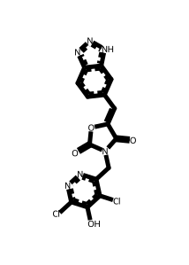 O=C1O/C(=C\c2ccc3nn[nH]c3c2)C(=O)N1Cc1nnc(Cl)c(O)c1Cl